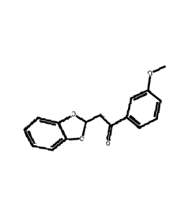 COc1cccc(C(=O)CC2Oc3ccccc3O2)c1